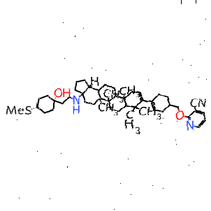 CS[C@H]1CC[C@](O)(CCNC23CCC[C@@H]2C2CCC4C5(C)CC=C(C6=CCC(COc7ncccc7C#N)CC6)C(C)(C)C5CCC4(C)[C@]2(C)CC3)CC1